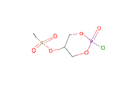 CS(=O)(=O)OC1COP(=O)(Cl)OC1